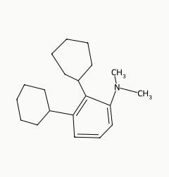 CN(C)c1cccc(C2CCCCC2)c1C1CCCCC1